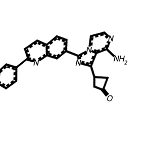 Nc1nccn2c(-c3ccc4ccc(-c5ccccc5)nc4c3)nc(C3CC(=O)C3)c12